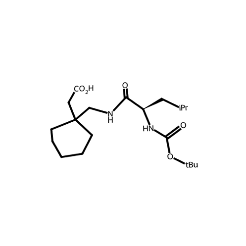 CC(C)C[C@@H](NC(=O)OC(C)(C)C)C(=O)NCC1(CC(=O)O)CCCCC1